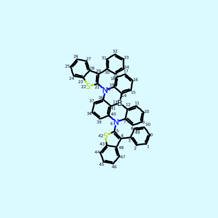 c1ccc(-c2c(N3c4ccccc4B4c5ccccc5N(c5sc6ccccc6c5-c5ccccc5)c5cccc3c54)sc3ccccc23)cc1